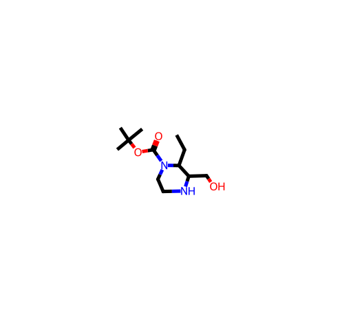 CCC1C(CO)NCCN1C(=O)OC(C)(C)C